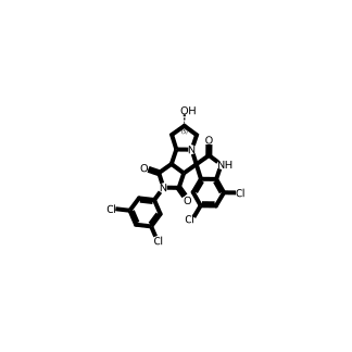 O=C1C2C3C[C@H](O)CN3C3(C(=O)Nc4c(Cl)cc(Cl)cc43)C2C(=O)N1c1cc(Cl)cc(Cl)c1